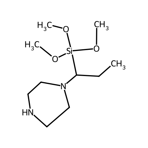 CCC(N1CCNCC1)[Si](OC)(OC)OC